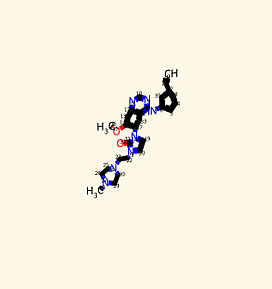 C#Cc1cccc(Nc2ncnc3cc(OC)c(-n4ccn(CCN5CCN(C)CC5)c4=O)cc23)c1